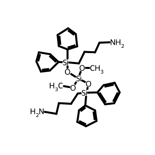 CO[Si](OC)(O[Si](CCCCN)(c1ccccc1)c1ccccc1)O[Si](CCCCN)(c1ccccc1)c1ccccc1